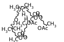 CC(=O)OC(C)CCCOC(=O)OC(C)(C)CCCSC(C)(C)CN(C)CSCCOCCSC(C)(C)CCCC(C)(C)OC(=O)OCCCC(C)OC(C)=O